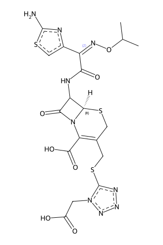 CC(C)O/N=C(\C(=O)NC1C(=O)N2C(C(=O)O)=C(CSc3nnnn3CC(=O)O)CS[C@H]12)c1csc(N)n1